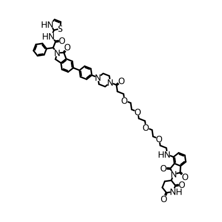 O=C1CCC(N2C(=O)c3cccc(NCCOCCOCCOCCOCCC(=O)N4CCN(c5ccc(-c6ccc7c(c6)C(=O)N(C(C(=O)NC6NC=CS6)c6ccccc6)C7)cc5)CC4)c3C2=O)C(=O)N1